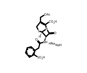 CC(=O)OCC1=C(C(=O)O)N2C(=O)[C@@H](NC(=O)Cc3ccccc3S(=O)(=O)O)[C@H]2SC1.[NaH].[NaH]